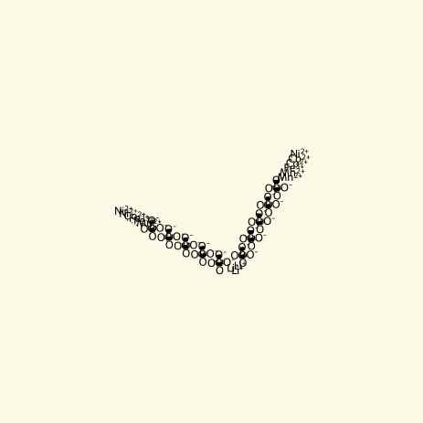 O=P([O-])([O-])[O-].O=P([O-])([O-])[O-].O=P([O-])([O-])[O-].O=P([O-])([O-])[O-].O=P([O-])([O-])[O-].O=P([O-])([O-])[O-].O=P([O-])([O-])[O-].O=P([O-])([O-])[O-].O=P([O-])([O-])[O-].O=P([O-])([O-])[O-].[Co+2].[Co+2].[Co+2].[Fe+3].[Fe+3].[Fe+3].[Li+].[Li+].[Li+].[Mn+2].[Mn+2].[Mn+2].[Ni+2].[Ni+2].[Ni+2]